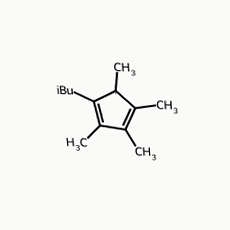 CCC(C)C1=C(C)C(C)=C(C)[C]1C